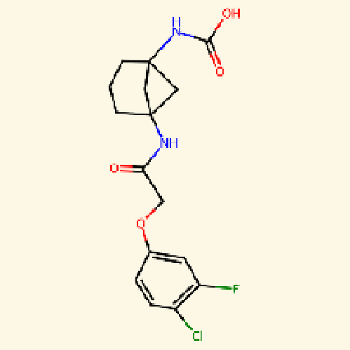 O=C(O)NC12CCCC(NC(=O)COc3ccc(Cl)c(F)c3)(C1)C2